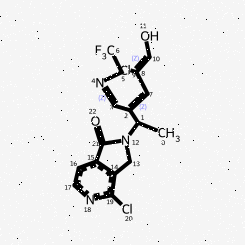 CC(C(/C=N\CC(F)(F)F)=C/C(Cl)=C/O)N1Cc2c(ccnc2Cl)C1=O